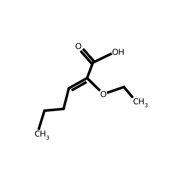 CCC/C=C(\OCC)C(=O)O